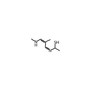 CN/C=C(C)\C=N/C(C)S